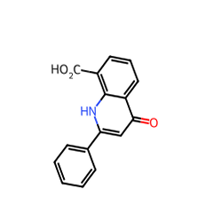 O=C(O)c1cccc2c(=O)cc(-c3ccccc3)[nH]c12